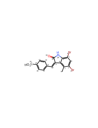 Cc1c(Br)cc(Br)c2c1C(=Cc1ccc(C(=O)O)cc1)C(=O)N2